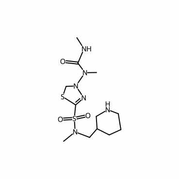 CNC(=O)N(C)N1CSC(S(=O)(=O)N(C)CC2CCCNC2)=N1